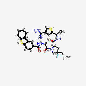 COC[C@@]1(F)C[C@@H](C(=O)NC(C)c2cc(C(=N)N)cs2)N(C(=O)CNC(=O)c2ccc3sc4ccccc4c3c2)C1